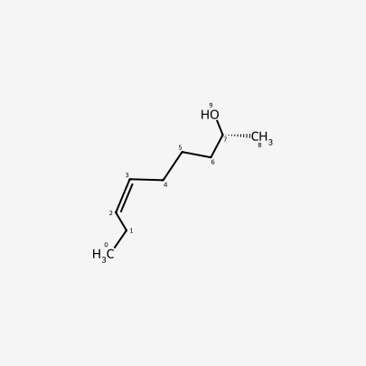 CC/C=C\CCC[C@@H](C)O